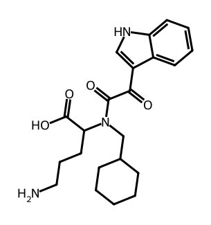 NCCCC(C(=O)O)N(CC1CCCCC1)C(=O)C(=O)c1c[nH]c2ccccc12